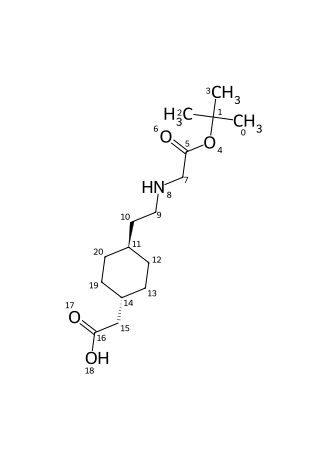 CC(C)(C)OC(=O)CNCC[C@H]1CC[C@H](CC(=O)O)CC1